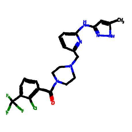 Cc1cc(Nc2cccc(CN3CCN(C(=O)c4cccc(C(F)(F)F)c4Cl)CC3)n2)n[nH]1